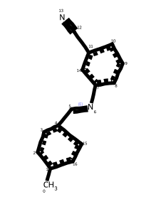 Cc1ccc(/C=N/c2cccc(C#N)c2)cc1